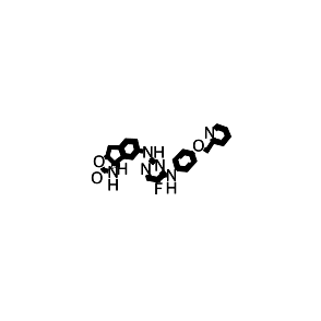 O=C1N[C@H]2c3cc(Nc4ncc(F)c(Nc5ccc(OCc6ccccn6)cc5)n4)ccc3CC2O1